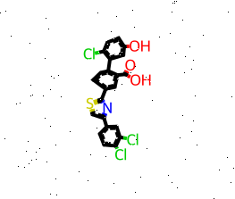 O=C(O)c1cc(-c2nc(-c3ccc(Cl)c(Cl)c3)cs2)ccc1-c1cc(O)ccc1Cl